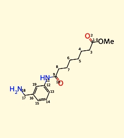 COC(=O)CCCCCCC(=O)Nc1cccc(CN)c1